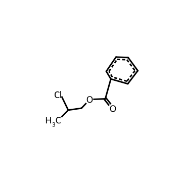 CC(Cl)COC(=O)c1ccccc1